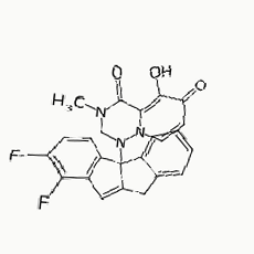 CN1CN(C23C(=Cc4c2ccc(F)c4F)Cc2ccccc23)n2ccc(=O)c(O)c2C1=O